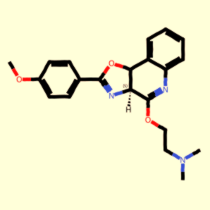 COc1ccc(C2=N[C@@H]3C(OCCN(C)C)=Nc4ccccc4C3O2)cc1